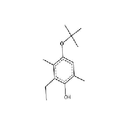 CCc1c(C)c(OC(C)(C)C)cc(C)c1O